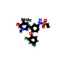 C=CS(=O)(=O)Nc1ccc(Oc2ccc(F)cc2F)c(-c2cc(NC(C)=O)c(=O)n(C)c2)c1